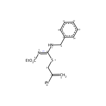 C=C(CS/C(=N\C(=O)OCC)NCc1ccccc1)C(C)C